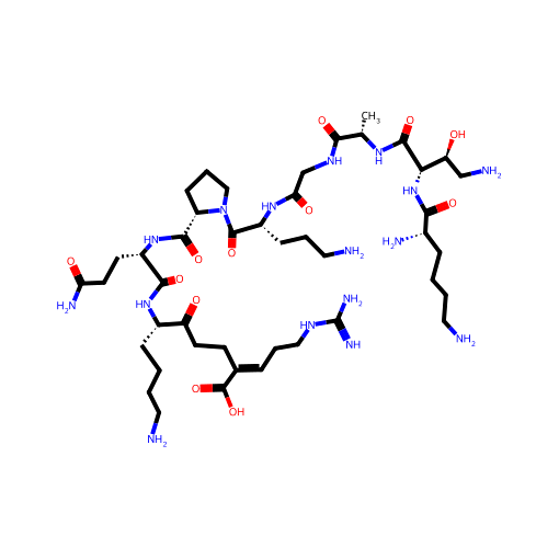 C[C@H](NC(=O)[C@@H](NC(=O)[C@@H](N)CCCCN)[C@@H](O)CN)C(=O)NCC(=O)N[C@H](CCCN)C(=O)N1CCC[C@H]1C(=O)N[C@@H](CCC(N)=O)C(=O)N[C@@H](CCCCN)C(=O)CC/C(=C\CCNC(=N)N)C(=O)O